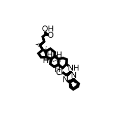 C[C@H](CCC(=O)O)C1CC[C@H]2[C@@H]3CC[C@@H]4CC(Nc5nc6ccccc6nc5Cl)CC[C@]4(C)[C@H]3CC[C@]12C